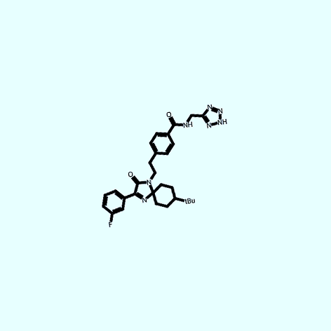 CC(C)(C)C1CCC2(CC1)N=C(c1cccc(F)c1)C(=O)N2CCc1ccc(C(=O)NCc2nn[nH]n2)cc1